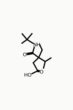 CCC(CC(=O)O)(C(=O)NC(C)(C)C)C(C)C